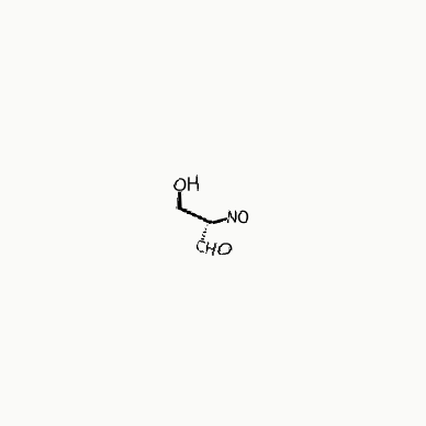 O=C[C@H](CO)N=O